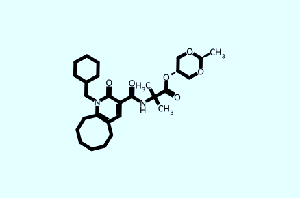 CC(C)(NC(=O)c1cc2c(n(CC3CCCCC3)c1=O)CCCCCC2)C(=O)O[C@H]1CO[C@H](C)OC1